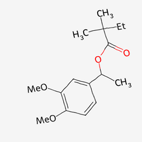 CCC(C)(C)C(=O)OC(C)c1ccc(OC)c(OC)c1